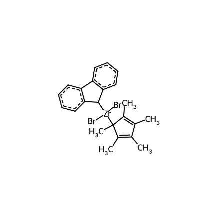 CC1=C(C)[C](C)([Zr]([Br])([Br])[CH]2c3ccccc3-c3ccccc32)C(C)=C1C